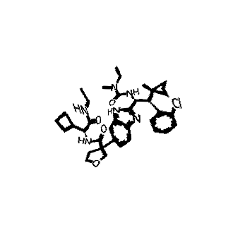 CCNC(=O)[C@H](NC(=O)C1(c2ccc3nc([C@@H](NC(=O)N(C)CC)[C@H](c4ccccc4Cl)C4(C)CC4)[nH]c3c2)CCOC1)C1CCC1